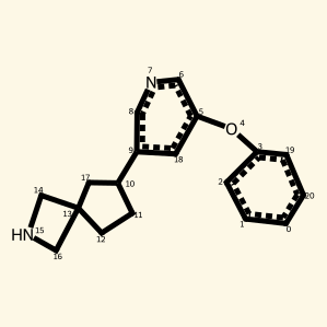 c1ccc(Oc2cncc(C3CCC4(CNC4)C3)c2)cc1